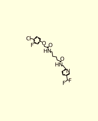 O=C(CCCCNC(=O)COc1ccc(Cl)c(F)c1)NCc1ccc(C(F)F)cn1